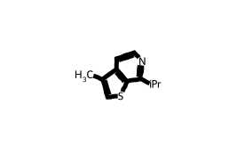 Cc1csc2c(C(C)C)nccc12